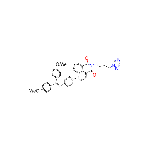 COc1ccc(C(=Cc2ccc(-c3ccc4c5c(cccc35)C(=O)N(CCCCn3cncn3)C4=O)cc2)c2ccc(OC)cc2)cc1